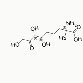 N[C@](S)(CCC[C@H](O)[C@@H](O)C(=O)CO)C(=O)O